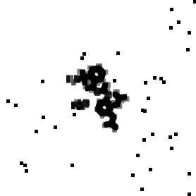 CC(C)Cc1cccc(OC(C)OC(C)c2ccccc2C(C)(C)N)c1CC(C)C.Cl.O